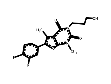 Cc1c(-c2ccc(F)c(F)c2)sc2c1c(=O)n(CCCO)c(=O)n2C